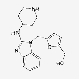 OCc1ccc(Cn2c(NC3CCNCC3)nc3ccccc32)o1